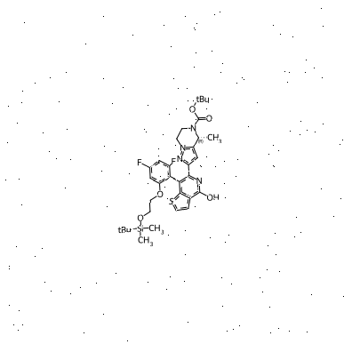 C[C@@H]1c2cc(-c3nc(O)c4ccsc4c3-c3c(F)cc(F)cc3OCCO[Si](C)(C)C(C)(C)C)nn2CCN1C(=O)OC(C)(C)C